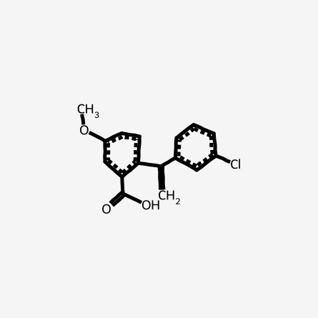 C=C(c1cccc(Cl)c1)c1ccc(OC)cc1C(=O)O